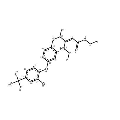 CCNC(=CC(=O)OCC)C(C)Oc1ccc(Oc2ncc(C(F)(F)F)cc2Cl)cc1